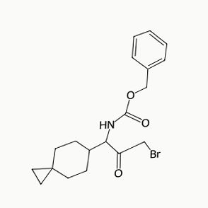 O=C(NC(C(=O)CBr)C1CCC2(CC1)CC2)OCc1ccccc1